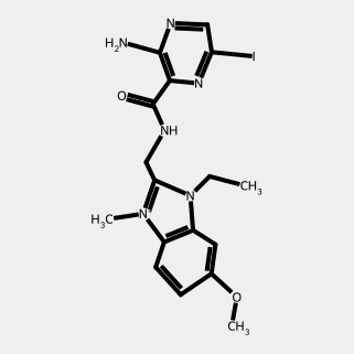 CCn1c(CNC(=O)c2nc(I)cnc2N)[n+](C)c2ccc(OC)cc21